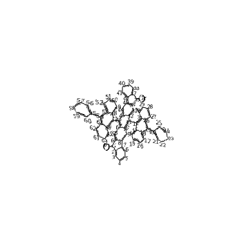 O=c1c2ccccc2c2cc3c(-c4c5ccccc5c(C5=CCCC=C5)c5ccccc45)c4cc5c(=O)c6ccccc6c5cc4c(-c4c5ccccc5c(-c5ccccc5)c5ccccc45)c3cc12